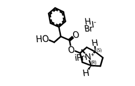 Br.CC(C)[N+]1(C)[C@@H]2CC[C@H]1CC(OC(=O)C(CO)c1ccccc1)C2.[I-]